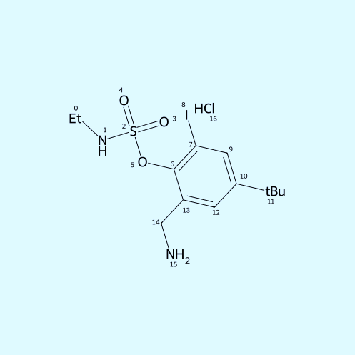 CCNS(=O)(=O)Oc1c(I)cc(C(C)(C)C)cc1CN.Cl